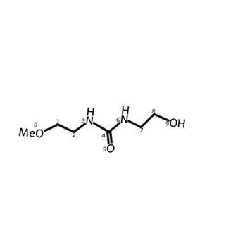 COCCNC(=O)NCCO